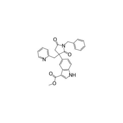 COC(=O)c1c[nH]c2ccc(C3(Cc4ccccn4)CC(=O)N(Cc4ccccc4)C3=O)cc12